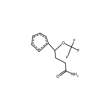 NC(=O)CCC(OC(F)(F)F)c1ccccc1